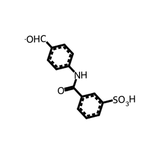 O=[C]c1ccc(NC(=O)c2cccc(S(=O)(=O)O)c2)cc1